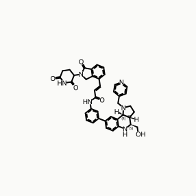 O=C(C=Cc1cccc2c1CN(C1CCC(=O)NC1=O)C2=O)Nc1cccc(-c2ccc3c(c2)[C@H]2[C@H](CCN2Cc2ccncc2)[C@@H](CO)N3)c1